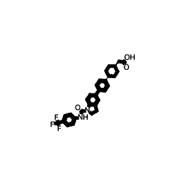 O=C(O)C[C@H]1CC[C@H](c2ccc(-c3ccc4c(c3)CCN4C(=O)Nc3ccc(C(F)(F)F)cc3)cc2)CC1